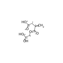 C=C(CC(=O)O)C(=O)OCC(O)O